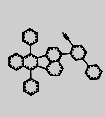 N#Cc1ccc(-c2ccccc2)cc1-c1ccc2c3c(cccc13)-c1c-2c(-c2ccccc2)c2ccccc2c1-c1ccccc1